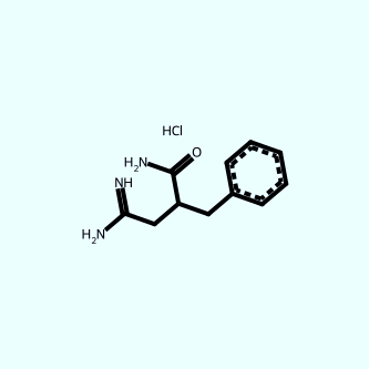 Cl.N=C(N)CC(Cc1ccccc1)C(N)=O